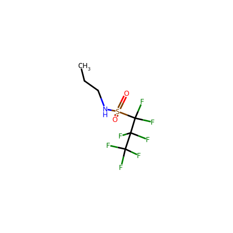 CCCNS(=O)(=O)C(F)(F)C(F)(F)C(F)(F)F